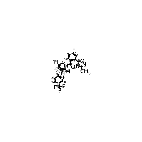 Cc1noc(-c2cc(F)ccc2C(=O)N2C[C@@H]3CC[C@H]2[C@H](Oc2ccc(C(F)(F)F)cn2)C3)n1